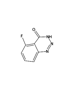 O=c1[nH]nnc2cccc(F)c12